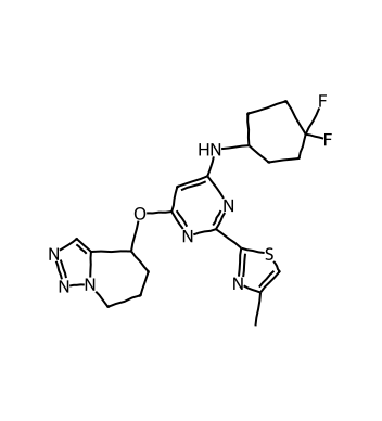 Cc1csc(-c2nc(NC3CCC(F)(F)CC3)cc(OC3CCCn4nncc43)n2)n1